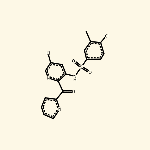 Cc1cc(S(=O)(=O)Nc2cc(Cl)cnc2C(=O)c2ccccn2)ccc1Cl